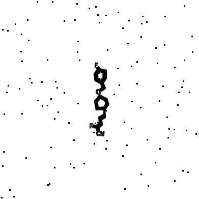 N#C/C(F)=C/C=C/[C@H]1CC[C@H](OCc2ccc(F)cc2)CC1